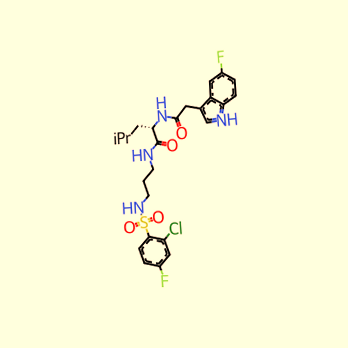 CC(C)C[C@H](NC(=O)Cc1c[nH]c2ccc(F)cc12)C(=O)NCCCNS(=O)(=O)c1ccc(F)cc1Cl